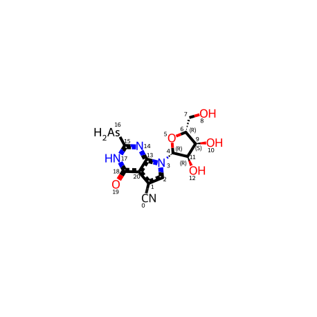 N#Cc1cn([C@@H]2O[C@H](CO)[C@@H](O)[C@H]2O)c2nc([AsH2])[nH]c(=O)c12